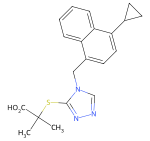 CC(C)(Sc1nncn1Cc1ccc(C2CC2)c2ccccc12)C(=O)O